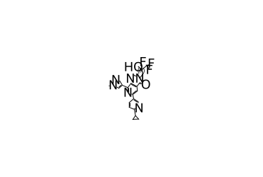 Cn1cc(-c2nc(-c3ccc(C4CC4)nc3)cc3c(=O)n(C[C@@H](O)C(F)(F)F)cnc23)cn1